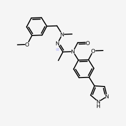 COc1cccc(CN(C)/N=C(/C)N(C=O)c2ccc(-c3cn[nH]c3)cc2OC)c1